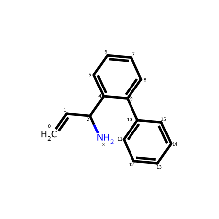 C=C[C](N)c1ccccc1-c1ccccc1